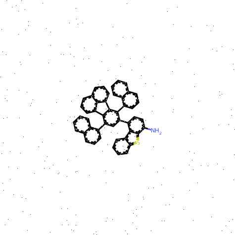 Nc1ccc(-c2cc(-c3cccc4ccccc34)c3c(c2-c2cccc4ccccc24)-c2cccc4cccc-3c24)c2c1sc1ccccc12